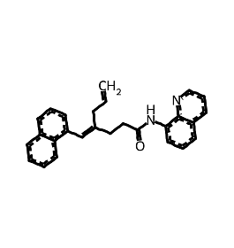 C=CCC(=Cc1cccc2ccccc12)CCC(=O)Nc1cccc2cccnc12